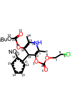 CC1=C(OC(=O)OCCCl)C(c2ccccc2[N+](=O)[O-])C(OC(=O)OCC(C)C)=C(C)N1